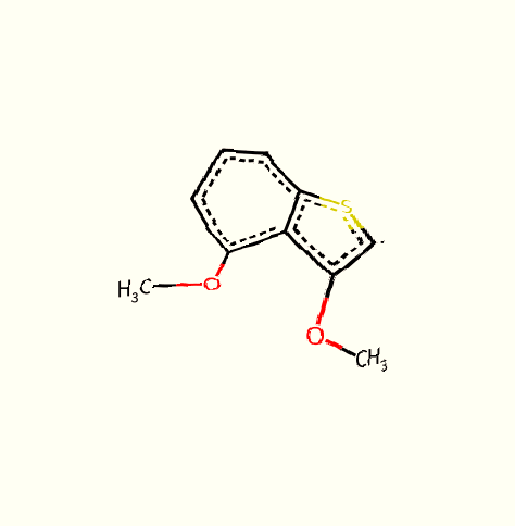 COc1[c]sc2cccc(OC)c12